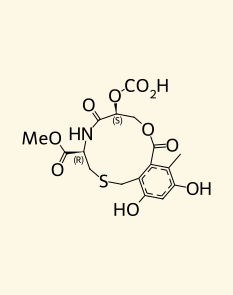 COC(=O)[C@@H]1CSCc2c(O)cc(O)c(C)c2C(=O)OC[C@H](OC(=O)O)C(=O)N1